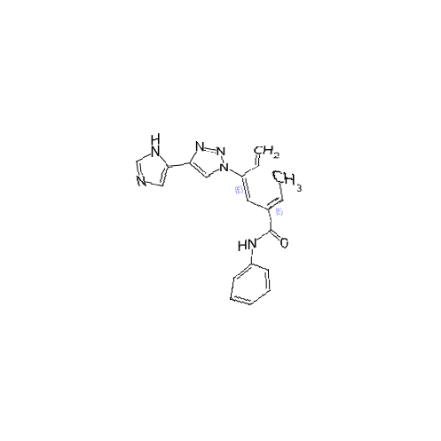 C=C/C(=C\C(=C/C)C(=O)Nc1ccccc1)n1cc(-c2cnc[nH]2)nn1